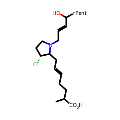 CCCCCC(O)C=CCN1CC[C@@H](Cl)C1CC=CCCC(C)C(=O)O